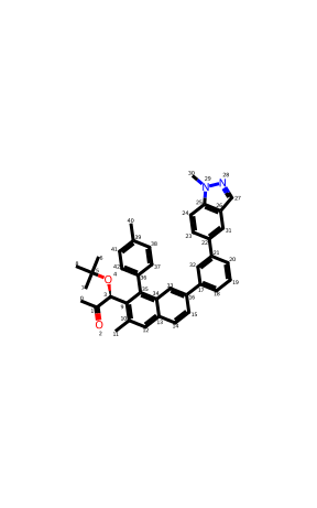 CC(=O)[C@@H](OC(C)(C)C)c1c(C)cc2ccc(-c3cccc(-c4ccc5c(cnn5C)c4)c3)cc2c1-c1ccc(C)cc1